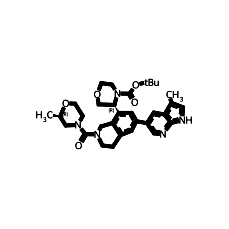 Cc1c[nH]c2ncc(-c3cc4c(c([C@@H]5COCCN5C(=O)OC(C)(C)C)c3)CN(C(=O)N3CCO[C@H](C)C3)CC4)cc12